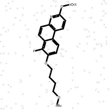 CCCCCCCCOc1ccc2c(ccc3c(F)c(OCCCCOCCCC)ccc32)n1